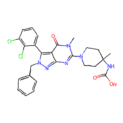 Cn1c(N2CCC(C)(NC(=O)O)CC2)nc2nn(Cc3ccccc3)c(-c3cccc(Cl)c3Cl)c2c1=O